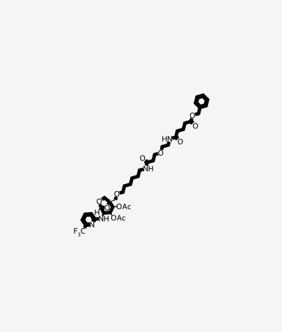 CC(=O)O[C@@H]1[C@@H](Nc2cccc(C(F)(F)F)n2)[C@H]2OC[C@](COCCCCCCNC(=O)CCOCCNC(=O)CCCC(=O)OCc3ccccc3)(O2)[C@@H]1OC(C)=O